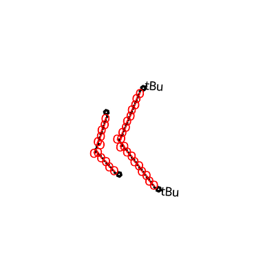 CC(C)(C)c1ccc(COCCOCCOCCOCCOCCOCCOCCOCCOC(=O)CCC(=O)OCCOCCOCCOCCOCCOCCOCCOCCOCc2ccc(C(C)(C)C)cc2)cc1.O=C(CCCC(=O)OCCOCCOCCOCCOCc1ccccc1)OCCOCCOCCOCCOCc1ccccc1